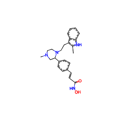 Cc1[nH]c2ccccc2c1CCN1CCN(C)CC1c1ccc(/C=C/C(=O)NO)cc1